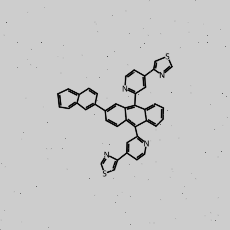 c1ccc2cc(-c3ccc4c(-c5cc(-c6cscn6)ccn5)c5ccccc5c(-c5cc(-c6cscn6)ccn5)c4c3)ccc2c1